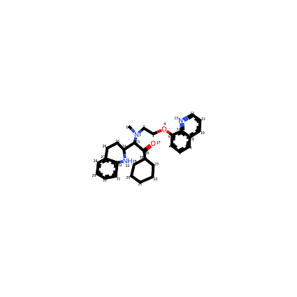 CN(CCOc1cccc2cccnc12)C(C(=O)C1CCCCC1)C1CCc2ccccc2N1